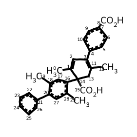 CC1=CC(c2ccc(C(=O)O)cc2)=C(C)CC1(C(=O)O)c1cc(C)c(-c2ccccc2)cc1C